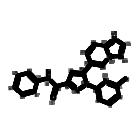 Cc1cccc(-n2nc(C(=O)Nc3ccccc3)cc2-c2ccc3ncnn3c2)n1